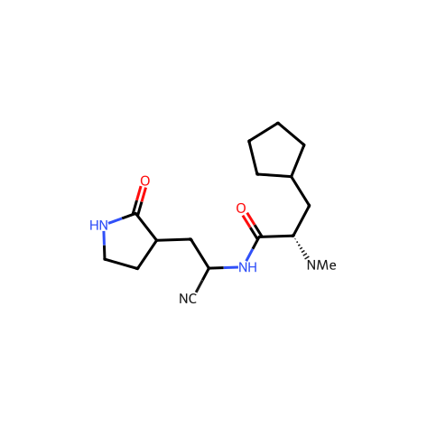 CN[C@@H](CC1CCCC1)C(=O)NC(C#N)CC1CCNC1=O